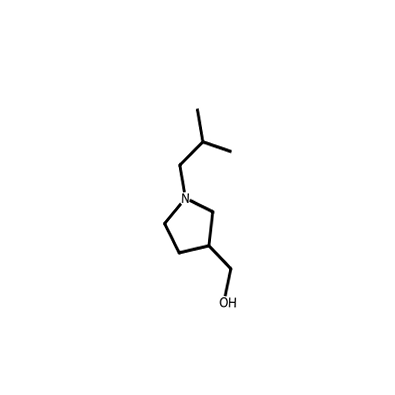 CC(C)CN1CCC(CO)C1